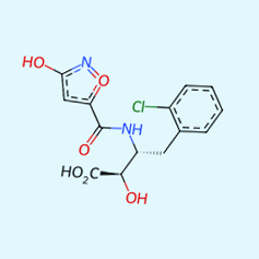 O=C(N[C@H](Cc1ccccc1Cl)[C@@H](O)C(=O)O)c1cc(O)no1